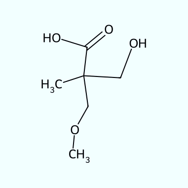 COCC(C)(CO)C(=O)O